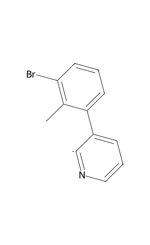 Cc1c(Br)cccc1-c1[c]nccc1